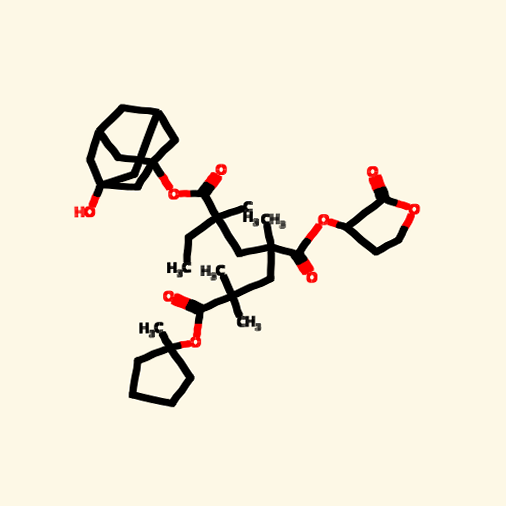 CCC(C)(CC(C)(CC(C)(C)C(=O)OC1(C)CCCC1)C(=O)OC1CCOC1=O)C(=O)OC12CC3CC(CC(O)(C3)C1)C2